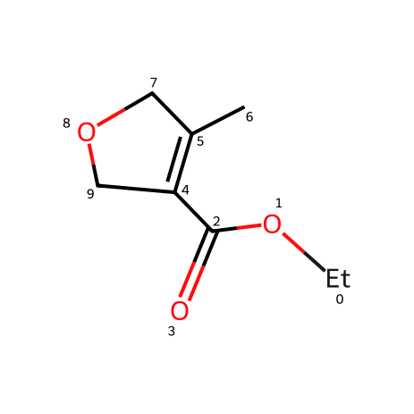 CCOC(=O)C1=C(C)COC1